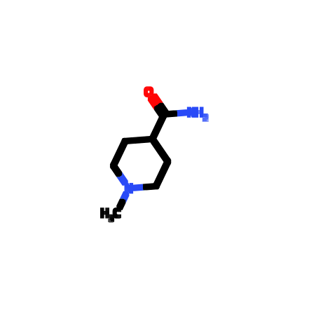 CN1CCC(C(N)=O)CC1